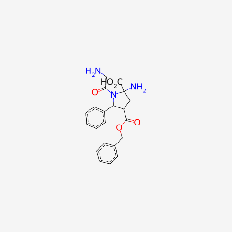 NCC(=O)N1C(c2ccccc2)C(C(=O)OCc2ccccc2)CC1(N)C(=O)O